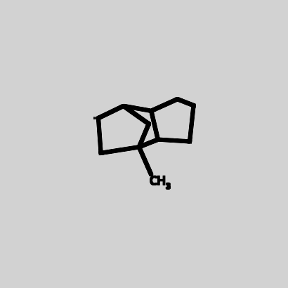 CC12C[CH]C(C1)C1CCCC12